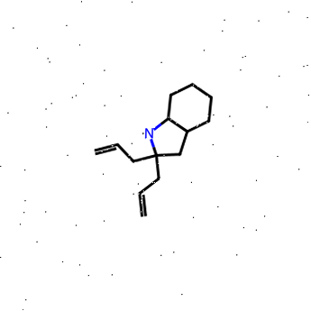 C=CCC1(CC=C)CC2CCCCC2[N]1